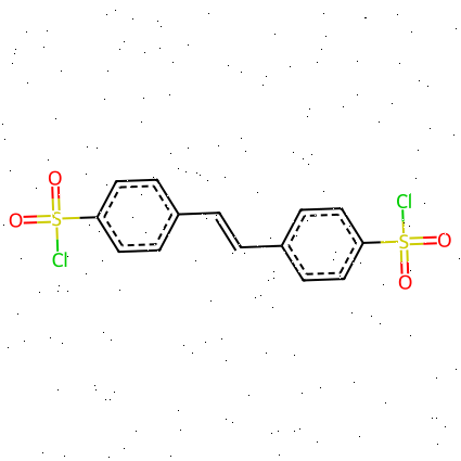 O=S(=O)(Cl)c1ccc(C=Cc2ccc(S(=O)(=O)Cl)cc2)cc1